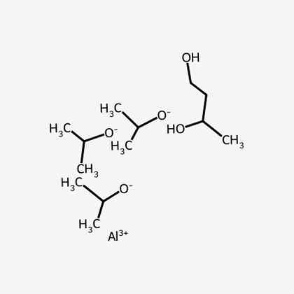 CC(C)[O-].CC(C)[O-].CC(C)[O-].CC(O)CCO.[Al+3]